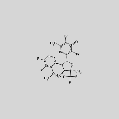 COc1c([C@H]2[C@H](c3[nH]c(C)c(Br)c(=O)c3Br)O[C@@](C)(C(F)(F)F)[C@H]2C)ccc(F)c1F